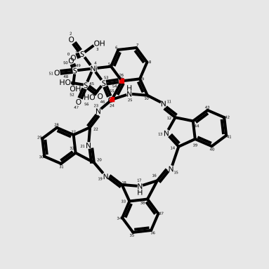 O=[S](=O)(O)[Ni]([c]1cccc2c3nc4nc(nc5[nH]c(nc6nc(nc([nH]3)c12)-c1ccccc1-6)c1ccccc51)-c1ccccc1-4)([S](=O)(=O)O)([S](=O)(=O)O)[S](=O)(=O)O